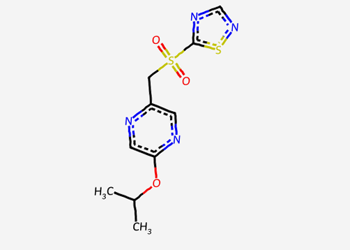 CC(C)Oc1cnc(CS(=O)(=O)c2ncns2)cn1